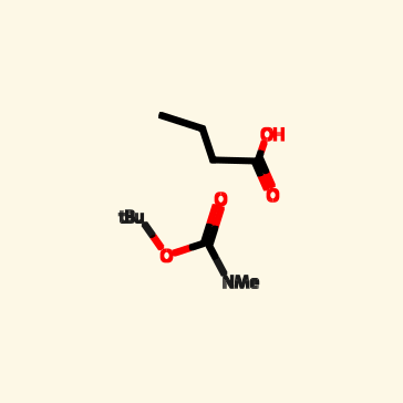 CCCC(=O)O.CNC(=O)OC(C)(C)C